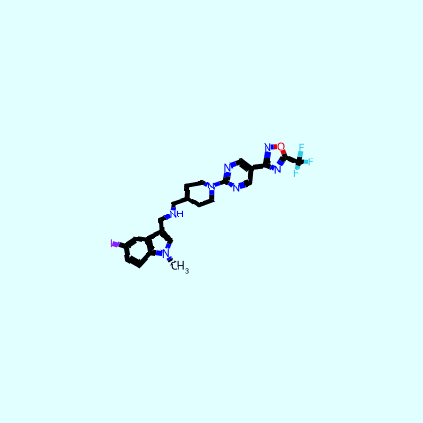 Cn1cc(CNCC2CCN(c3ncc(-c4noc(C(F)(F)F)n4)cn3)CC2)c2cc(I)ccc21